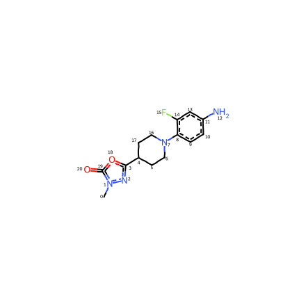 Cn1nc(C2CCN(c3ccc(N)cc3F)CC2)oc1=O